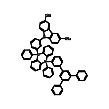 CC(C)(C)c1ccc2c(c1)c1cc(C(C)(C)C)ccc1n2-c1cccc([Si]2(c3ccccc3)c3ccccc3[Si](c3ccccc3)(c3cccc(-c4cc(-c5ccccc5)cc(-c5ccccc5)c4)c3)c3ccccc32)c1